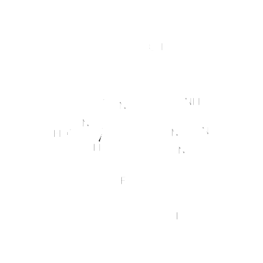 Cc1cc(Nc2ncn(-c3cc(F)cc(F)c3)n2)cc(N2C[C@H]3CC2CN3C)c1